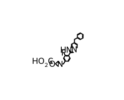 O=C(O)OC1CN(Cc2ccc(C3=CN4CC=C(Cc5ccccc5)C=C4N3)c(F)c2)C1